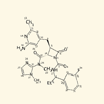 CCC(NC(=O)N1C(=O)[C@H](Cc2cc(C)nc(N)c2)[C@H]1C(=O)N(C)c1nccn1C)c1cccc(F)c1